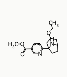 CCOC1CC2CCC(c3ccc(C(=O)OC)cn3)(C1)N2